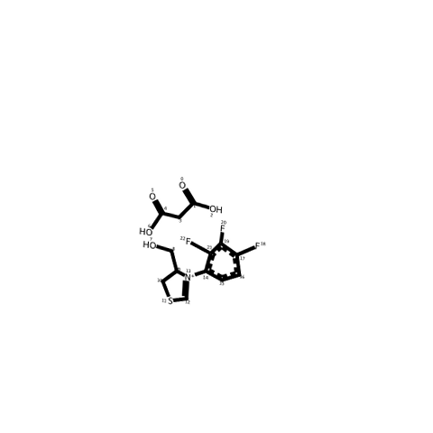 O=C(O)CC(=O)O.OCC1CSC=[N+]1c1ccc(F)c(F)c1F